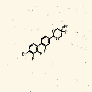 CCCC1(F)COC(c2ccc(-c3ccc(CC)c(F)c3F)c(F)c2)OC1